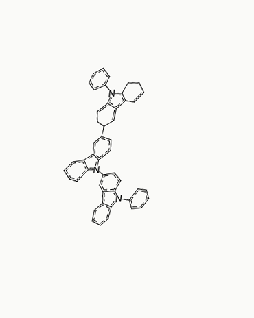 C1=Cc2c(n(-c3ccccc3)c3c2=CC(c2ccc4c(c2)c2ccccc2n4-c2ccc4c(c2)c2ccccc2n4-c2ccccc2)CC=3)CC1